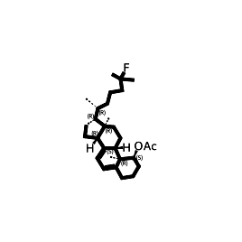 CC(=O)O[C@H]1CCCC2=CC=C3[C@@H]4CC[C@H]([C@H](C)CCCC(C)(C)F)[C@@]4(C)CC[C@@H]3[C@]21C